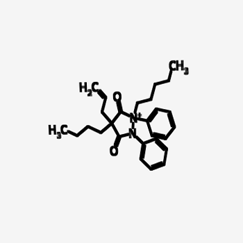 C=CCC1(CCCC)C(=O)N(c2ccccc2)[N+](CCCCC)(c2ccccc2)C1=O